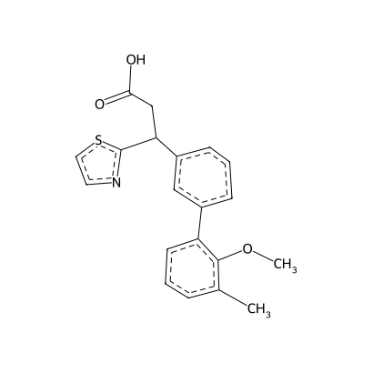 COc1c(C)cccc1-c1cccc(C(CC(=O)O)c2nccs2)c1